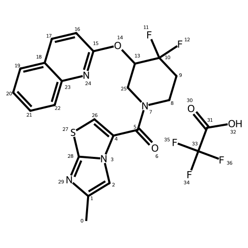 Cc1cn2c(C(=O)N3CCC(F)(F)C(Oc4ccc5ccccc5n4)C3)csc2n1.O=C(O)C(F)(F)F